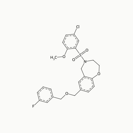 COc1ccc(Cl)cc1S(=O)(=O)N1CCOc2ccc(COCc3cccc(F)c3)cc2C1